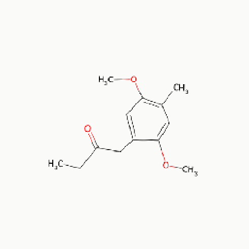 CCC(=O)Cc1cc(OC)c(C)cc1OC